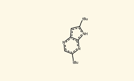 CC(C)(C)c1cnc2cc(C(C)(C)C)[nH]c2n1